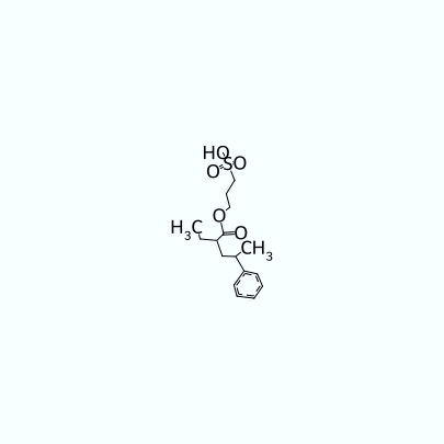 CCC(CC(C)c1ccccc1)C(=O)OCCCS(=O)(=O)O